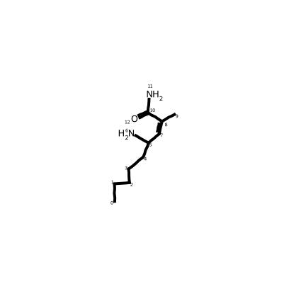 CCCCCC(N)C=C(C)C(N)=O